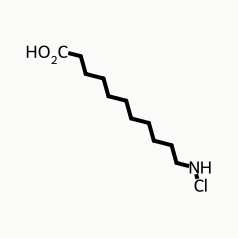 O=C(O)CCCCCCCCCCNCl